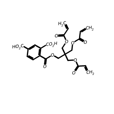 C=CC(=O)OCC(COC(=O)C=C)(COC(=O)C=C)COC(=O)c1ccc(C(=O)O)cc1C(=O)O